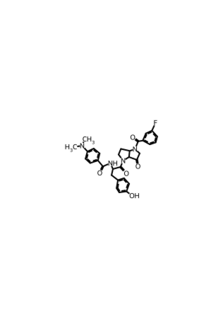 CN(C)c1ccc(C(=O)NC(Cc2ccc(O)cc2)C(=O)N2CCC3C2C(=O)CN3C(=O)c2cccc(F)c2)cc1